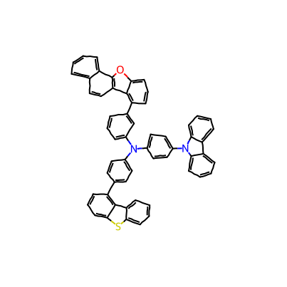 c1cc(-c2cccc3oc4c5ccccc5ccc4c23)cc(N(c2ccc(-c3cccc4sc5ccccc5c34)cc2)c2ccc(-n3c4ccccc4c4ccccc43)cc2)c1